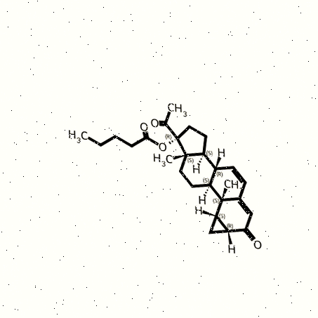 CCCCC(=O)O[C@]1(C(C)=O)CC[C@H]2[C@@H]3C=CC4=CC(=O)[C@@H]5C[C@@H]5[C@]4(C)[C@H]3CC[C@@]21C